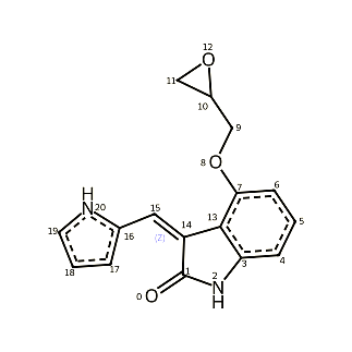 O=C1Nc2cccc(OCC3CO3)c2/C1=C/c1ccc[nH]1